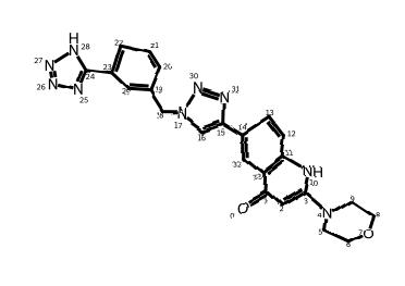 O=c1cc(N2CCOCC2)[nH]c2ccc(-c3cn(Cc4cccc(-c5nnn[nH]5)c4)nn3)cc12